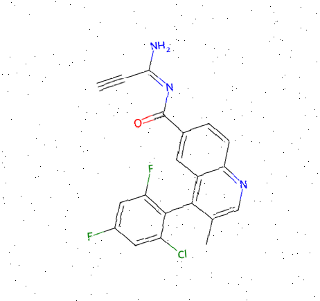 C#C/C(N)=N\C(=O)c1ccc2ncc(C)c(-c3c(F)cc(F)cc3Cl)c2c1